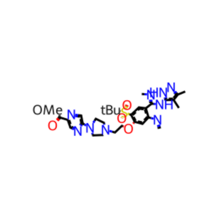 C=Nc1cc(OCCN2CCN(c3cnc(C(=O)OC)cn3)CC2)c(S(=O)(=O)C(C)(C)C)cc1/C(=N\C)Nc1[nH]nc(C)c1C